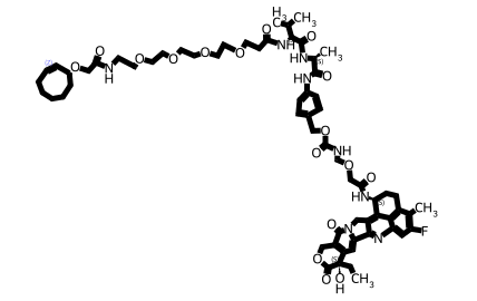 CC[C@@]1(O)C(=O)OCc2c1cc1n(c2=O)Cc2c-1nc1cc(F)c(C)c3c1c2[C@@H](NC(=O)COCNC(=O)OCc1ccc(NC(=O)[C@H](C)NC(=O)[C@@H](NC(=O)CCOCCOCCOCCOCCNC(=O)COC2/C=C\CCCCC2)C(C)C)cc1)CC3